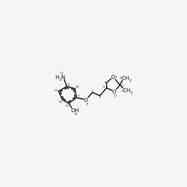 CC1(C)OCC(CCOc2cc(N)ccc2O)O1